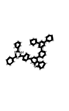 C1=CC(C2=NC(c3ccc(C4C=C(c5cccc(-c6cc(-c7ccccc7)cc(-c7ccccc7)c6)c5)c5c(sc6ccccc56)C4)cc3)NC(c3ccccc3)=N2)=CCC1